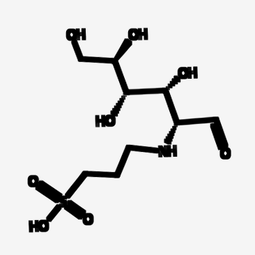 O=C[C@H](NCCCS(=O)(=O)O)[C@@H](O)[C@H](O)[C@H](O)CO